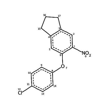 O=[N+]([O-])c1cc2c(cc1Oc1ccc(Cl)cc1)CCC2